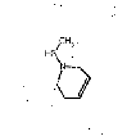 CBN1CC=CCC1